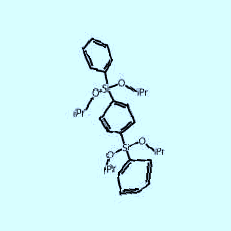 CC(C)O[Si](OC(C)C)(c1ccccc1)c1ccc([Si](OC(C)C)(OC(C)C)c2ccccc2)cc1